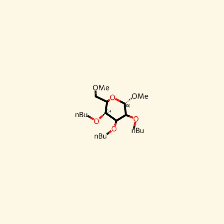 CCCCOC1C(OCCCC)[C@@H](OCCCC)C(COC)O[C@@H]1OC